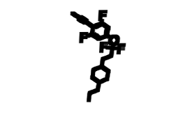 CC#Cc1c(F)cc(OC(F)(F)CCC2CCC(CCC)CC2)cc1F